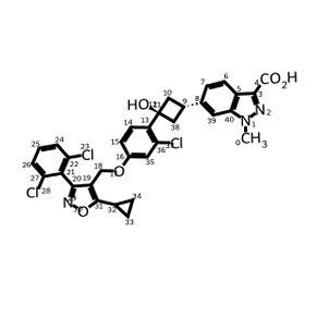 Cn1nc(C(=O)O)c2ccc([C@H]3C[C@@](O)(c4ccc(OCc5c(-c6c(Cl)cccc6Cl)noc5C5CC5)cc4Cl)C3)cc21